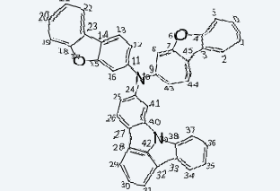 c1ccc2c(c1)oc1cc(N(c3ccc4c(c3)oc3ccccc34)c3ccc4c5cccc6c7ccccc7n(c4c3)c65)ccc12